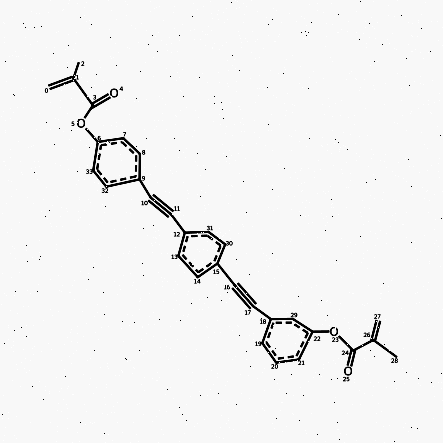 C=C(C)C(=O)Oc1ccc(C#Cc2ccc(C#Cc3cccc(OC(=O)C(=C)C)c3)cc2)cc1